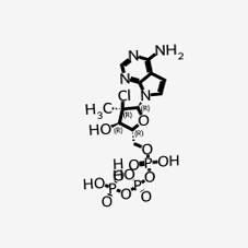 C[C@@]1(Cl)[C@H](O)[C@@H](COP(=O)(O)OP(=O)(O)OP(=O)(O)O)O[C@H]1n1ccc2c(N)ncnc21